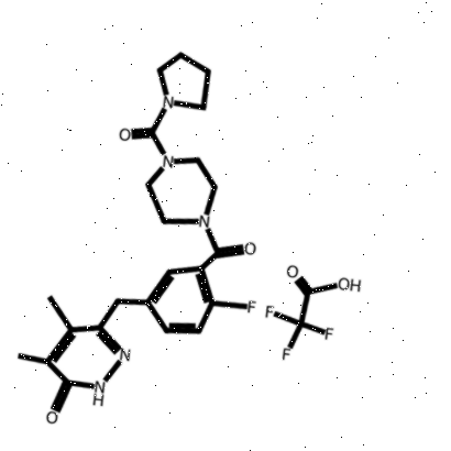 Cc1c(Cc2ccc(F)c(C(=O)N3CCN(C(=O)N4CCCC4)CC3)c2)n[nH]c(=O)c1C.O=C(O)C(F)(F)F